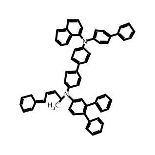 CC(/C=C\C=C1\C=CC=CC1)N(c1ccc(-c2ccc(N(c3ccc(-c4ccccc4)cc3)c3cccc4ccccc34)cc2)cc1)c1ccc(-c2ccccc2)c(-c2ccccc2)c1